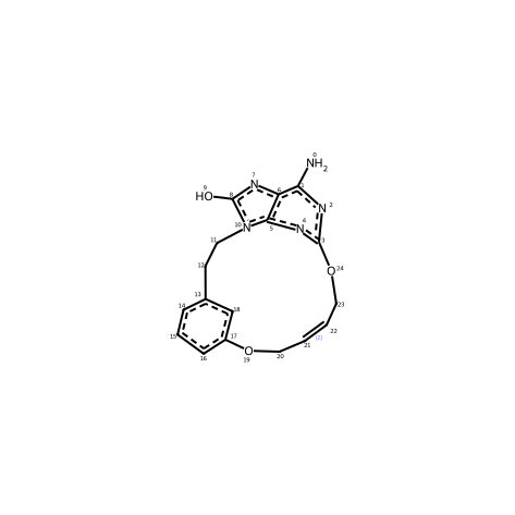 Nc1nc2nc3c1nc(O)n3CCc1cccc(c1)OC/C=C\CO2